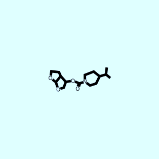 CC(C)C1CCN(C(=O)OC2COC3OCCC23)CC1